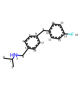 CC(C)NCc1ccc(Cc2ccc(F)cc2)cc1